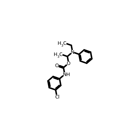 CCN(c1ccccc1)C(C)OC(=O)Nc1cccc(Cl)c1